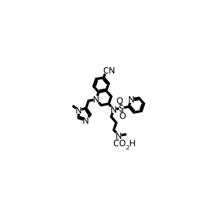 CN(CCCN(C1Cc2cc(C#N)ccc2N(Cc2cncn2C)C1)S(=O)(=O)c1ccccn1)C(=O)O